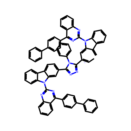 C=c1/c(=C\C(=C/C)c2nnc(-c3ccc4c5ccccc5n(-c5nc(-c6ccc(-c7ccccc7)cc6)c6ccccc6n5)c4c3)n2-c2ccccc2)n(-c2nc(-c3ccc(-c4ccccc4)cc3)c3ccccc3n2)c2ccccc12